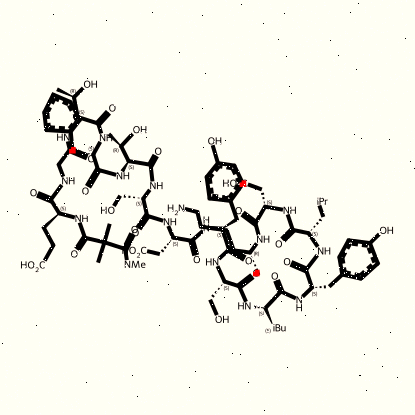 CC[C@H](C)[C@H](NC(=O)[C@H](CO)NC(=O)[C@H](Cc1ccc(O)cc1)NC(=O)[C@H](CC(=O)O)NC(=O)[C@H](CO)NC(=O)[C@@H](NC(=O)[C@H](Cc1ccccc1)NC(=O)[C@@H](NC(=O)CNC(=O)[C@H](CCC(=O)O)NC(=O)C(C)(C)C(=O)NC)[C@@H](C)O)[C@@H](C)O)C(=O)N[C@@H](Cc1ccc(O)cc1)C(=O)N[C@@H](CC(C)C)C(=O)N[C@@H](CC(=O)O)C(=O)N[C@H](C)CCCCN